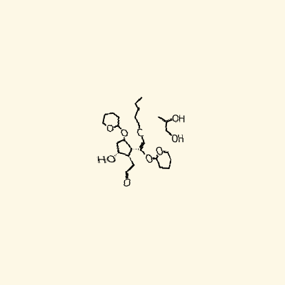 CC(O)CO.CCCCCCC=C(OC1CCCCO1)[C@@H]1[C@@H](CC=O)[C@H](O)C[C@@H]1OC1CCCCO1